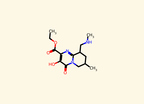 CCOC(=O)c1nc2n(c(=O)c1O)CC(C)CC2CNC